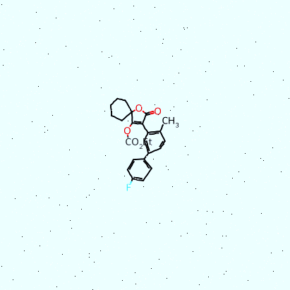 CCOC(=O)OC1=C(c2cc(-c3ccc(F)cc3)ccc2C)C(=O)OC12CCCCC2